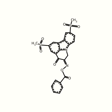 CS(=O)(=O)c1ccc2c(c1)c1cc(S(C)(=O)=O)cc3c1n2CC(=NOC(=O)c1ccccc1)C3=O